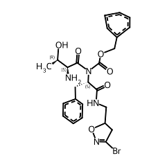 C[C@@H](O)[C@H](N)C(=O)N(C(=O)OCc1ccccc1)[C@@H](Cc1ccccc1)C(=O)NCC1CC(Br)=NO1